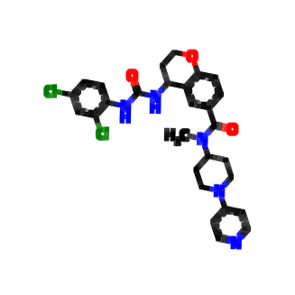 CN(C(=O)c1ccc2c(c1)C(NC(=O)Nc1ccc(Cl)cc1Cl)CCO2)C1CCN(c2ccncc2)CC1